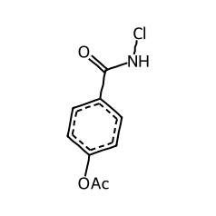 CC(=O)Oc1ccc(C(=O)NCl)cc1